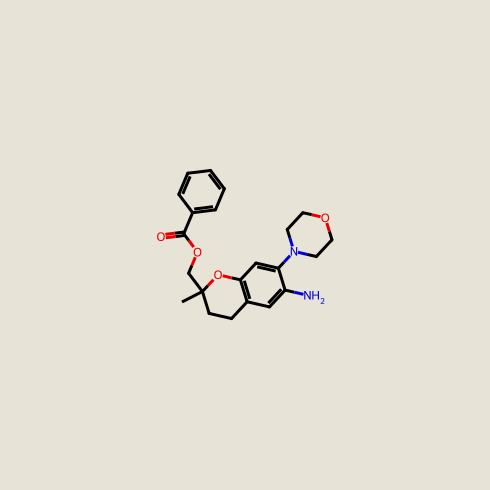 CC1(COC(=O)c2ccccc2)CCc2cc(N)c(N3CCOCC3)cc2O1